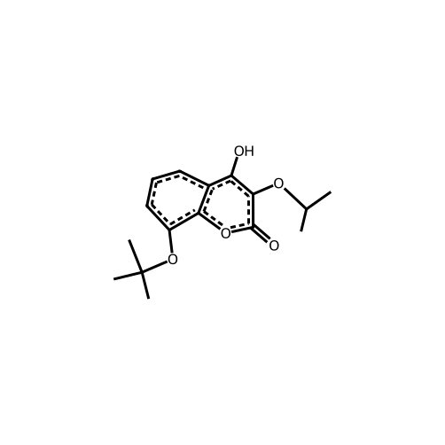 CC(C)Oc1c(O)c2cccc(OC(C)(C)C)c2oc1=O